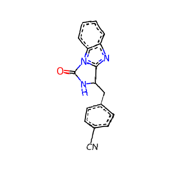 N#Cc1ccc(CC2NC(=O)n3c2nc2ccccc23)cc1